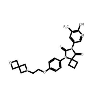 N#Cc1ncc(N2C(=O)C3(CCC3)N(c3ccc(OCCN4CC5(COC5)C4)cc3)C2=S)cc1C(F)(F)F